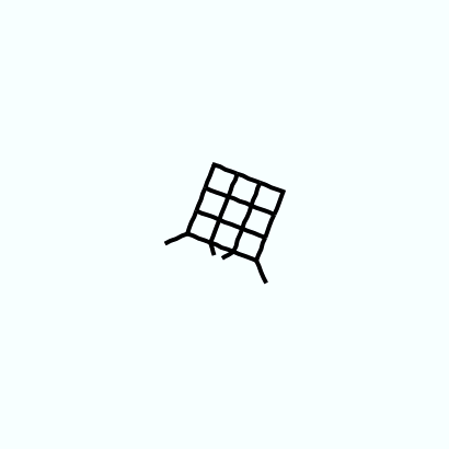 CC1C2C3CC4C5CC6C7C(C)C8(C)C1(C)C21C43C56C781